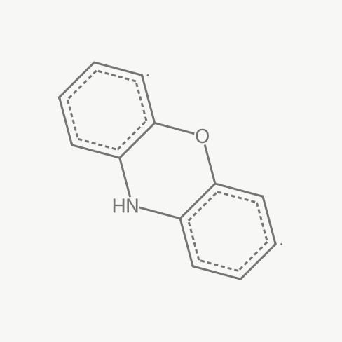 [c]1ccc2c(c1)Oc1[c]cccc1N2